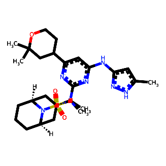 CCS(=O)(=O)N1[C@@H]2CCC[C@H]1C[C@H](N(C)c1nc(Nc3cc(C)[nH]n3)cc(C3CCOC(C)(C)C3)n1)C2